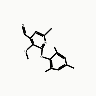 COc1c(C=O)cc(C)nc1Oc1c(C)cc(C)cc1C